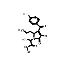 CCCCC(C(=O)NO)N1C(=O)C(O)=C(C(=O)c2ccc(C)cc2)C1CCSC